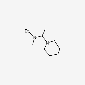 CCN(C)C(C)N1CCCCC1